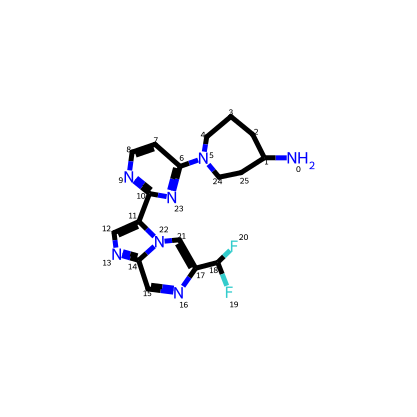 NC1CCCN(c2ccnc(-c3cnc4cnc(C(F)F)cn34)n2)CC1